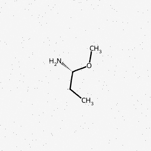 C[CH][C@H](N)OC